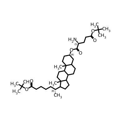 C[C@H](CCCCC(=O)OC(C)(C)C)C1CCC2C3CCC4C[C@H](OC(=O)[C@@H](N)CCC(=O)OC(C)(C)C)CCC4(C)C3CCC21C